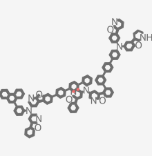 C1=Cc2c(oc3ccc(N(c4ccc(-c5ccc(-c6cccc(-c7cccc8oc9ncc(N(c%10cnc%11oc%12ccccc%12c%11c%10)c%10ccccc%10-c%10ccc(-c%11ccc(-c%12ccc%13c(c%12)oc%12ncc(N(c%14cccc(-c%15cc%16ccccc%16c%16ccccc%15%16)c%14)c%14cnc%15oc%16ccccc%16c%15c%14)cc%12%13)cc%11)cc%10)cc9c78)c6)cc5)cc4)c4ccc5oc6ncccc6c5c4)cc23)NC1